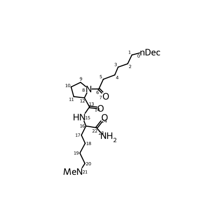 CCCCCCCCCCCCCCCC(=O)N1CCCC1C(=O)NC(CCCCNC)C(N)=O